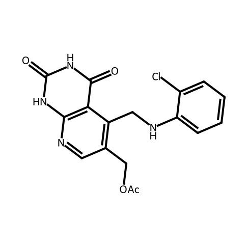 CC(=O)OCc1cnc2[nH]c(=O)[nH]c(=O)c2c1CNc1ccccc1Cl